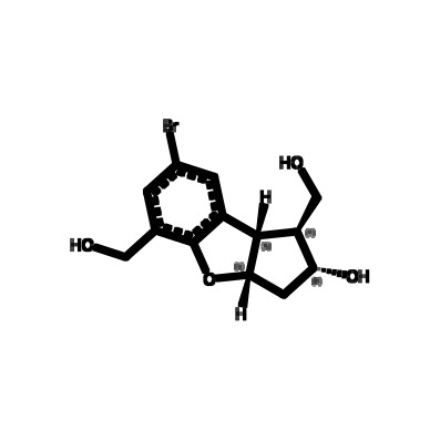 OCc1cc(Br)cc2c1O[C@H]1C[C@@H](O)[C@H](CO)[C@@H]21